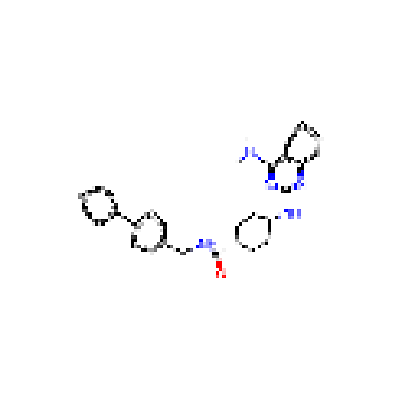 CN(C)c1nc(N[C@H]2CC[C@@H](C(=O)NCc3ccc(-c4ccccc4)cc3)CC2)nc2ccccc12